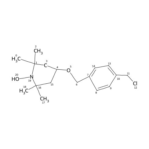 CC1(C)CC(OCc2ccc(CCl)cc2)CC(C)(C)N1O